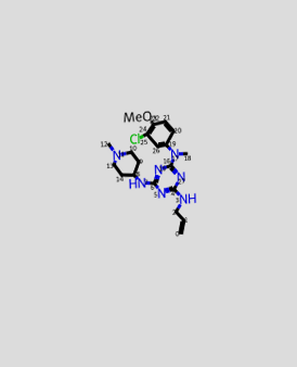 C=CCNc1nc(NC2CCN(C)CC2)nc(N(C)c2ccc(OC)c(Cl)c2)n1